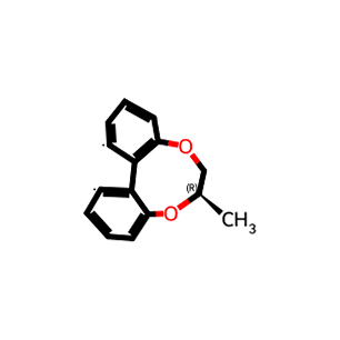 C[C@@H]1COc2ccc[c]c2-c2[c]cccc2O1